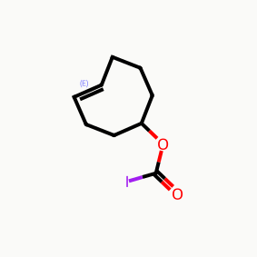 O=C(I)OC1CC/C=C/CCC1